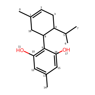 CC1=CCC(C(C)C)C(c2c(O)cc(C)cc2O)C1